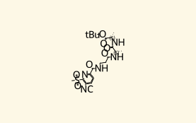 C[C@H](NC(=O)CCNC(=O)c1ccc(C#N)c(S(C)(=O)=O)n1)C(=O)N[C@@H](C)C(=O)OC(C)(C)C